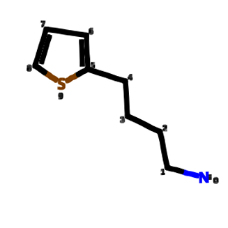 [N]CCCCc1cccs1